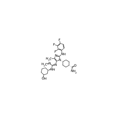 C=N/C(=N\c1c(C)nc(Nc2ccc(F)c(F)c2F)n1[C@H]1CC[C@@H](C(N)=O)CC1)N[C@@H]1CCC[C@H](O)C1